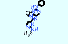 CCn1c(-c2ccnc(NC)n2)nc2cnc(Nc3cccc(F)c3)nc21